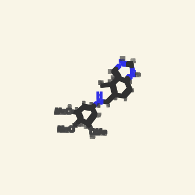 COc1cc(NCc2ccc3ncncc3c2C)cc(OC)c1OC